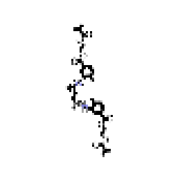 C=C(C)C(=O)OCCOC(=O)c1ccc(C)c(/N=N/N(C)CCN(C)/N=N/c2cc(C(=O)OCCOC(=O)C(=C)C)ccc2C)c1